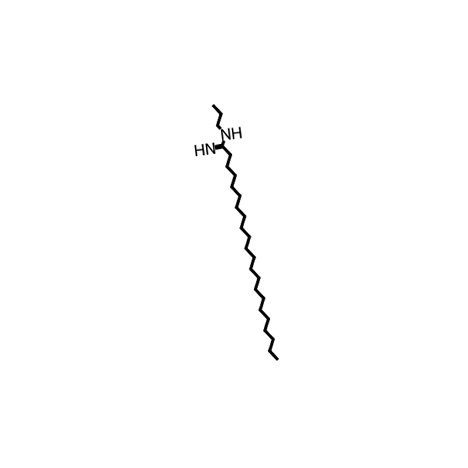 CCCCCCCCCCCCCCCCCCCCCC(=N)NCCC